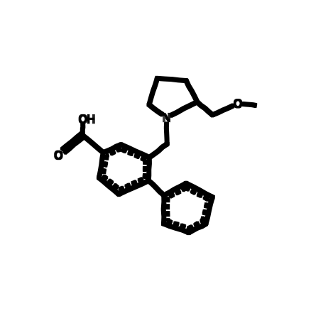 COCC1CCCN1Cc1cc(C(=O)O)ccc1-c1ccccc1